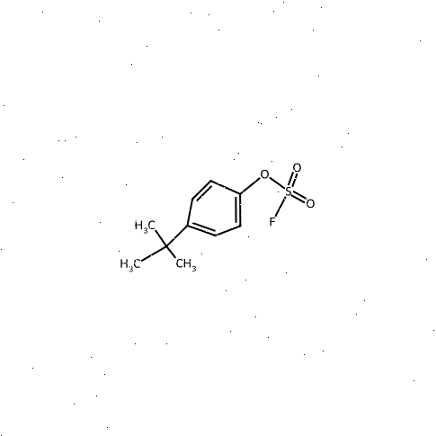 CC(C)(C)c1ccc(OS(=O)(=O)F)cc1